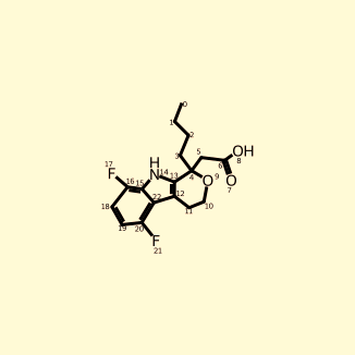 CCCCC1(CC(=O)O)OCCc2c1[nH]c1c(F)ccc(F)c21